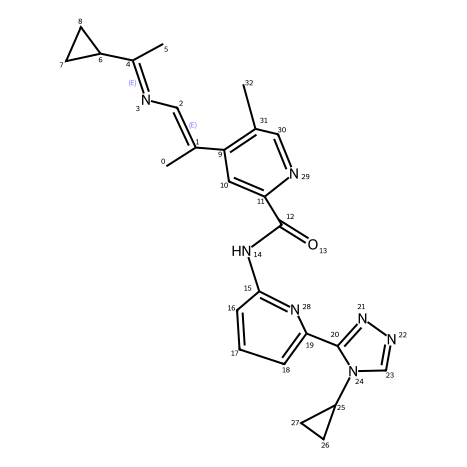 C/C(=C\N=C(/C)C1CC1)c1cc(C(=O)Nc2cccc(-c3nncn3C3CC3)n2)ncc1C